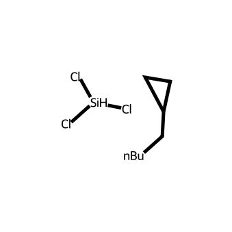 CCCCCC1CC1.Cl[SiH](Cl)Cl